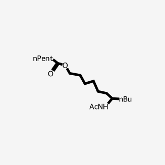 CCCCCC(=O)OCCCCCCC(CCCC)NC(C)=O